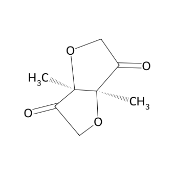 C[C@]12OCC(=O)[C@@]1(C)OCC2=O